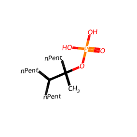 CCCCCC(CCCCC)C(C)(CCCCC)OP(=O)(O)O